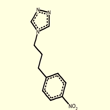 O=[N+]([O-])c1ccc(CCCn2cnnc2)cc1